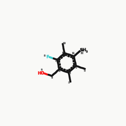 Cc1c(C)c(CO)c(F)c(C)c1[SiH3]